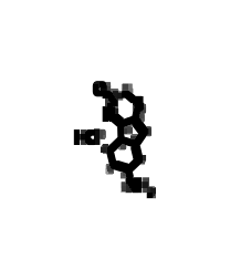 Cl.NC1=CCC2C(=C1)C=C1SC[N+](=O)N=C12